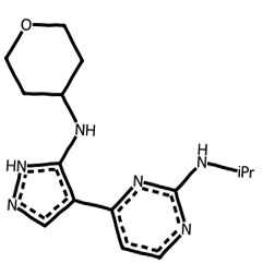 CC(C)Nc1nccc(-c2cn[nH]c2NC2CCOCC2)n1